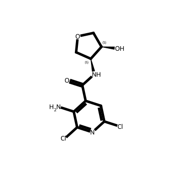 Nc1c(C(=O)N[C@H]2COC[C@H]2O)cc(Cl)nc1Cl